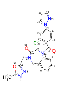 Cc1nnc(CN2Cc3ccccc3N(C(=O)c3ccc(-n4cccn4)cc3Cl)CC2=O)o1